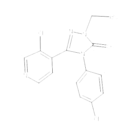 CCC(C)Cn1nc(-c2ccncc2Cl)n(-c2ccc(Cl)cc2)c1=O